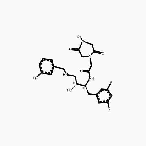 CCc1cccc(CNC[C@@H](O)[C@H](Cc2cc(F)cc(F)c2)NC(=O)CN2CC(=O)N(CC)CC2=O)c1